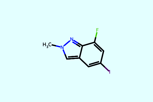 Cn1cc2cc(I)cc(F)c2n1